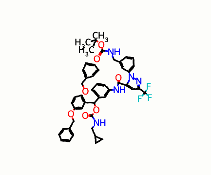 CC(C)(C)OC(=O)NCc1cccc(-n2nc(C(F)(F)F)cc2C(=O)Nc2cccc(C(OC(=O)NCC3CC3)c3cc(OCc4ccccc4)ccc3OCc3ccccc3)c2)c1